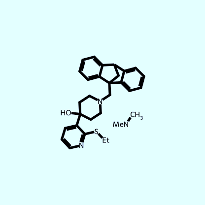 CCSc1ncccc1C1(O)CCN(CC23CC(c4ccccc42)c2ccccc23)CC1.CNC